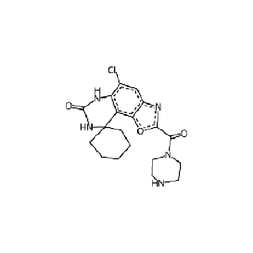 O=C1Nc2c(Cl)cc3nc(C(=O)N4CCNCC4)oc3c2C2(CCCCC2)N1